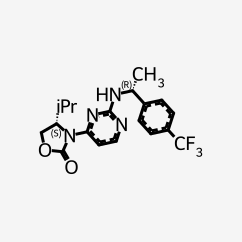 CC(C)[C@H]1COC(=O)N1c1ccnc(N[C@H](C)c2ccc(C(F)(F)F)cc2)n1